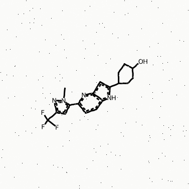 Cn1nc(C(F)(F)F)cc1-c1ccc2[nH]c(C3CCC(O)CC3)cc2n1